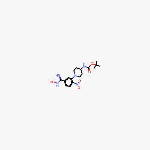 CC(C)(C)OC(=O)NC1CCN(c2cc(C(=N)NO)ccc2[N+](=O)[O-])CC1